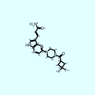 NC(=O)C=Cc1c[nH]c2ncc(N3CCN(C(=O)C4CC(F)(F)C4)CC3)nc12